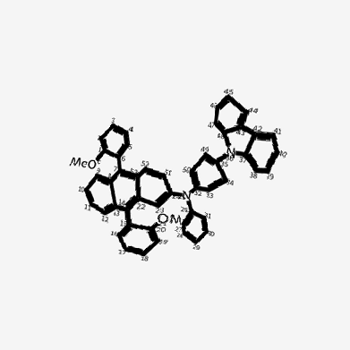 COc1ccccc1-c1c2ccccc2c(-c2ccccc2OC)c2cc(N(c3ccccc3)c3ccc(-n4c5ccccc5c5ccccc54)cc3)ccc12